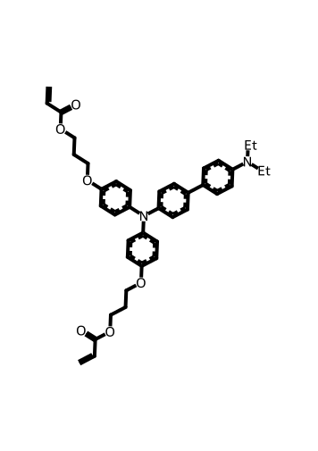 C=CC(=O)OCCCOc1ccc(N(c2ccc(OCCCOC(=O)C=C)cc2)c2ccc(-c3ccc(N(CC)CC)cc3)cc2)cc1